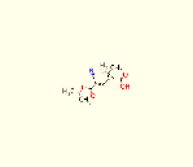 CC(C)OC(=O)/C(C#N)=C/[C@@H]1[C@@H](C(=O)O)C1(C)C